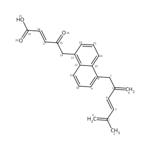 C=C(C)/C=C/C(=C)Cc1cccc2c(CC(=O)/C=C/C(=O)O)cccc12